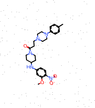 COc1cc(NC2CCN(C(=O)CCN3CCN(c4ccc(C)cc4)CC3)CC2)ccc1[N+](=O)[O-]